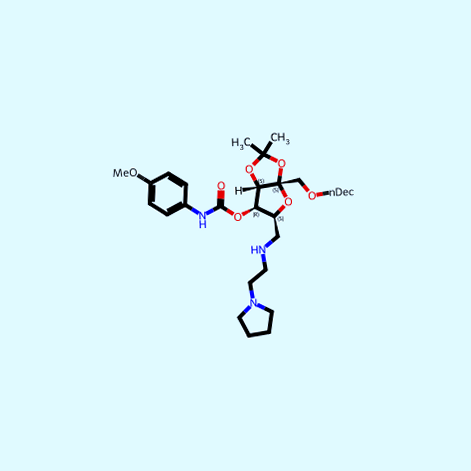 CCCCCCCCCCOC[C@@]12O[C@@H](CNCCN3CCCC3)[C@@H](OC(=O)Nc3ccc(OC)cc3)[C@@H]1OC(C)(C)O2